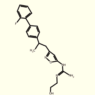 CC(Cc1cc(NC(N)=NCCO)on1)c1ccc(-c2ccccc2F)cc1